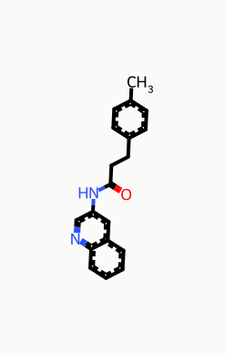 Cc1ccc(CCC(=O)Nc2cnc3ccccc3c2)cc1